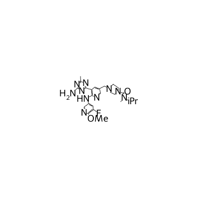 COc1ncc(Nc2ncc(CN3CCN(C(=O)N(C)C(C)C)CC3)cc2-c2nc(C)nc(N)n2)cc1F